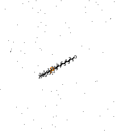 CCCCCCCCCCC[P]CCCCCC